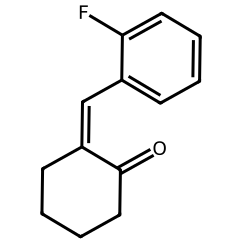 O=C1CCCC/C1=C/c1ccccc1F